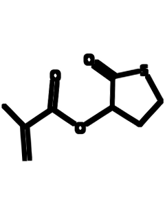 C=C(C)C(=O)OC1CCSC1=O